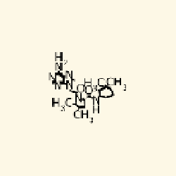 C[C@@H]1C[C@@H](C(=O)NC2CCCC(C)(C)C2)N(C(=O)Cn2cnc3c(N)ncnc32)[C@@H]1C